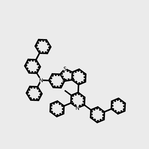 Cc1c(-c2cccc3sc4cc(N(c5ccccc5)c5cccc(-c6ccccc6)c5)ccc4c23)cc(-c2cccc(-c3ccccc3)c2)nc1-c1ccccc1